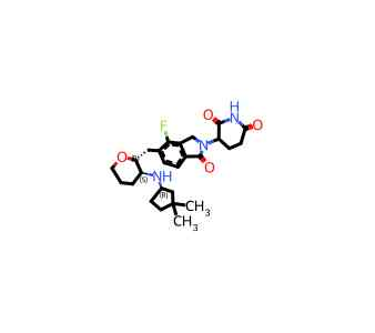 CC1(C)CC[C@@H](N[C@H]2CCCO[C@@H]2Cc2ccc3c(c2F)CN(C2CCC(=O)NC2=O)C3=O)C1